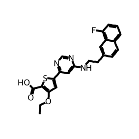 CCOc1cc(-c2cc(NCCc3ccc4cccc(F)c4c3)ncn2)sc1C(=O)O